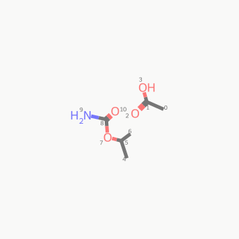 CC(=O)O.CC(C)OC(N)=O